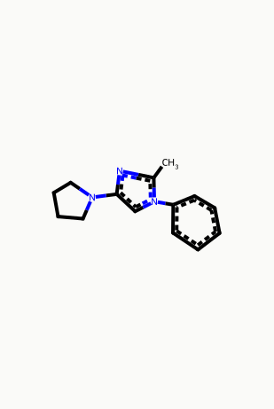 Cc1nc(N2CCCC2)cn1-c1ccccc1